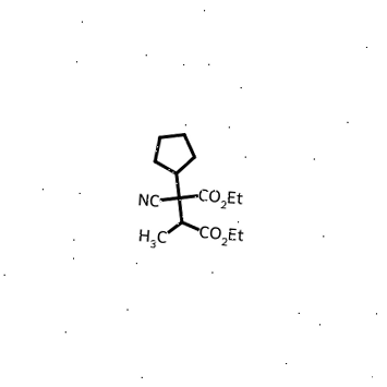 CCOC(=O)C(C)C(C#N)(C(=O)OCC)C1CCCC1